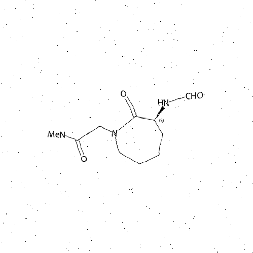 CNC(=O)CN1CCCC[C@H](N[C]=O)C1=O